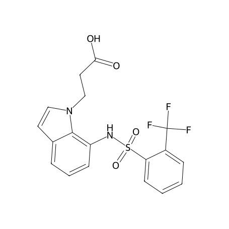 O=C(O)CCn1ccc2cccc(NS(=O)(=O)c3ccccc3C(F)(F)F)c21